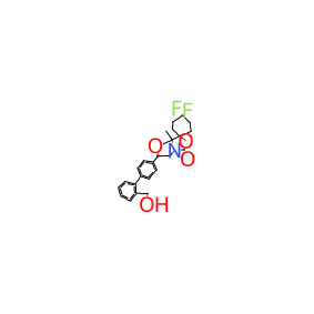 CC1(C)N(CC(=O)c2ccc(-c3ccccc3CO)cc2)C(=O)OC12CCC(F)(F)CC2